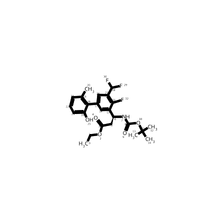 CCOC(=O)C[C@H](NC(=O)OC(C)(C)C)c1cc(-c2c(C)cccc2O)cc(C(F)F)c1F